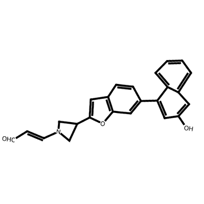 O=CC=CN1CC(c2cc3ccc(-c4cc(O)cc5ccccc45)cc3o2)C1